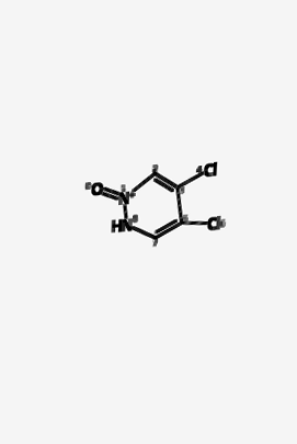 O=[n+]1cc(Cl)c(Cl)c[nH]1